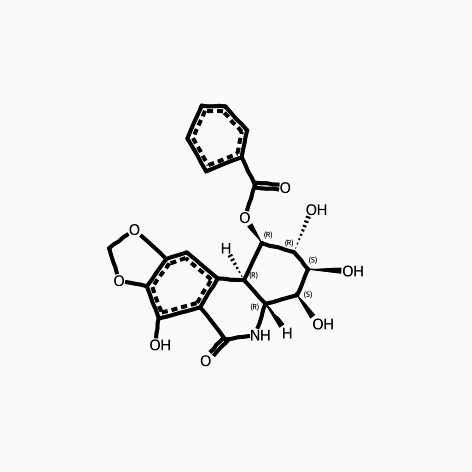 O=C(O[C@H]1[C@H](O)[C@@H](O)[C@@H](O)[C@@H]2NC(=O)c3c(cc4c(c3O)OCO4)[C@H]21)c1ccccc1